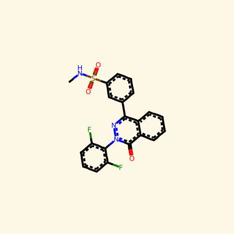 CNS(=O)(=O)c1cccc(-c2nn(-c3c(F)cccc3F)c(=O)c3ccccc23)c1